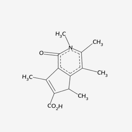 CC1=C(C(=O)O)C(C)c2c(C)c(C)n(C)c(=O)c21